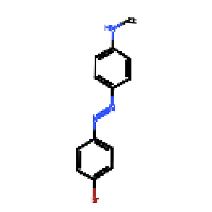 CCNc1ccc(N=Nc2ccc(Br)cc2)cc1